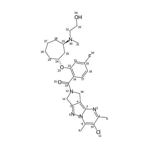 Cc1nc2c3c(nn2c(C)c1Cl)CN(C(=O)c1ccc(F)cc1O[C@@H]1CCCC[C@@H](N(C)CCO)C1)C3